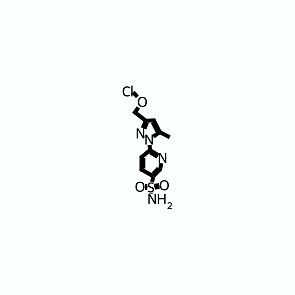 Cc1cc(COCl)nn1-c1ccc(S(N)(=O)=O)cn1